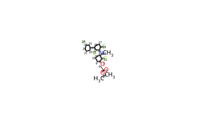 CC(C)OC(=O)COc1ccc(F)c(N(C)c2cc(-c3cccc(F)c3)ccc2F)c1F